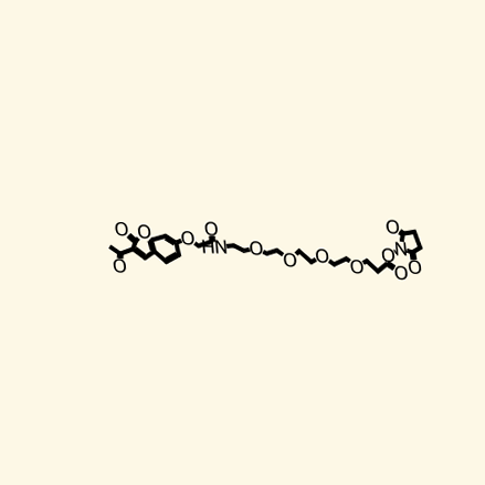 CC(=O)c1cc2ccc(OCC(=O)NCCOCCOCCOCCOCCC(=O)ON3C(=O)CCC3=O)cc2oc1=O